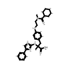 CN(CCOc1ccc(CC(C)(Oc2ncc(-c3ccccc3)o2)C(=O)O)cc1)C(=O)C1CCCCC1